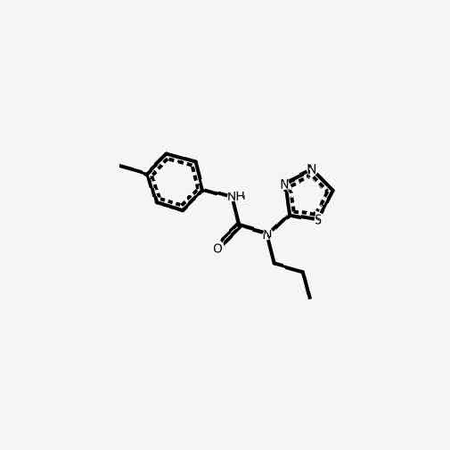 CCCN(C(=O)Nc1ccc(C)cc1)c1nncs1